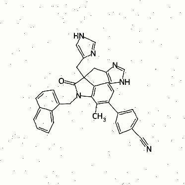 Cc1c(-c2ccc(C#N)cc2)ccc2c1N(Cc1cccc3ccccc13)C(=O)C2(Cc1c[nH]cn1)Cc1c[nH]cn1